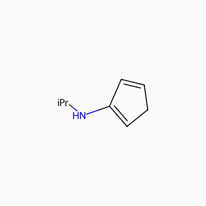 CC(C)NC1=CCC=C1